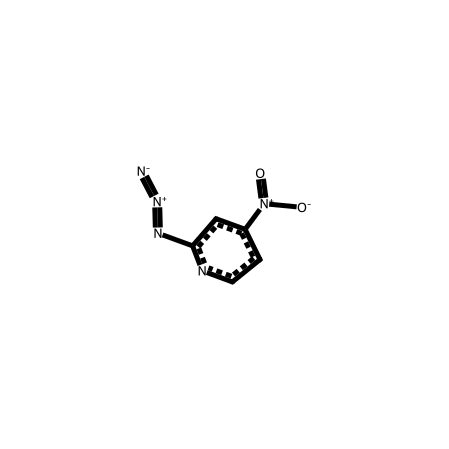 [N-]=[N+]=Nc1cc([N+](=O)[O-])ccn1